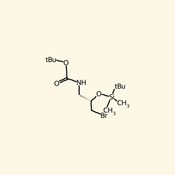 CC(C)(C)OC(=O)NC[C@@H](CBr)O[Si](C)(C)C(C)(C)C